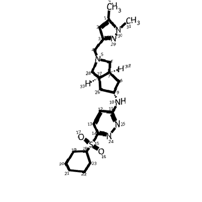 Cc1cc(CN2C[C@H]3C[C@H](Nc4ccc(S(=O)(=O)C5CCCCC5)nn4)C[C@H]3C2)nn1C